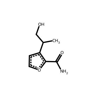 CC(CO)c1ccoc1C(N)=O